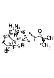 CN(C)C(=O)/C=C/[C@]12C[C@H]1[C@@](CF)(c1cc(Br)ccc1F)N=C(N)S2